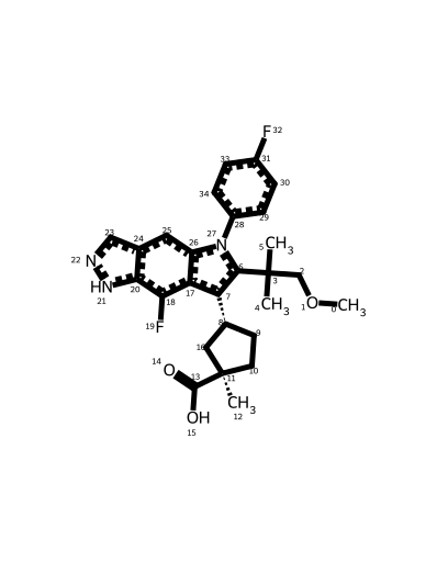 COCC(C)(C)c1c([C@@H]2CC[C@@](C)(C(=O)O)C2)c2c(F)c3[nH]ncc3cc2n1-c1ccc(F)cc1